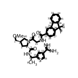 COC[C@@H]1C[C@@H](C(=O)N[C@H](C)c2cc(C(=N)N)cs2)N(C(=O)CNC(=O)c2ccc3c(c2)-c2ccccc2C3(F)F)C1